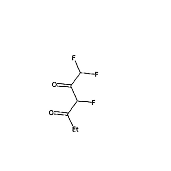 CCC(=O)C(F)C(=O)C(F)F